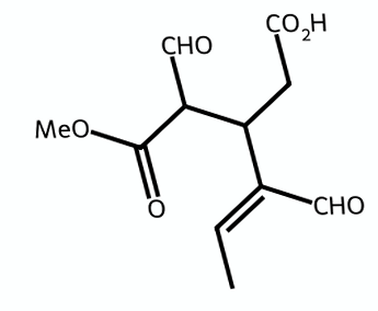 C/C=C(\C=O)C(CC(=O)O)C(C=O)C(=O)OC